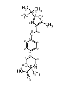 Cc1oc(C(C)(C)C)nc1COc1ccc([C@H]2CO[C@](C)(C(=O)O)OC2)cc1